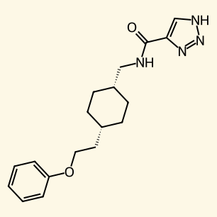 O=C(NC[C@H]1CC[C@@H](CCOc2ccccc2)CC1)c1c[nH]nn1